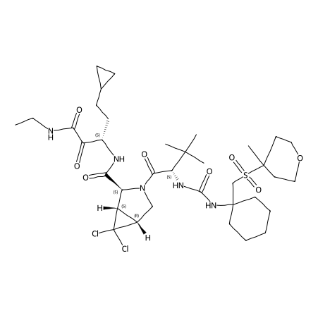 CCNC(=O)C(=O)[C@H](CCC1CC1)NC(=O)[C@@H]1[C@@H]2[C@H](CN1C(=O)[C@@H](NC(=O)NC1(CS(=O)(=O)C3(C)CCOCC3)CCCCC1)C(C)(C)C)C2(Cl)Cl